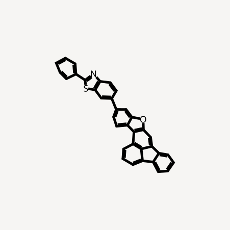 c1ccc(-c2nc3ccc(-c4ccc5c(c4)oc4cc6c7c(cccc7c45)-c4ccccc4-6)cc3s2)cc1